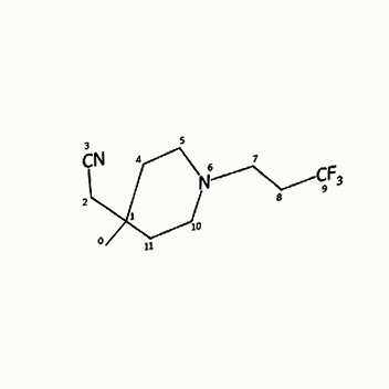 CC1(CC#N)CCN(CCC(F)(F)F)CC1